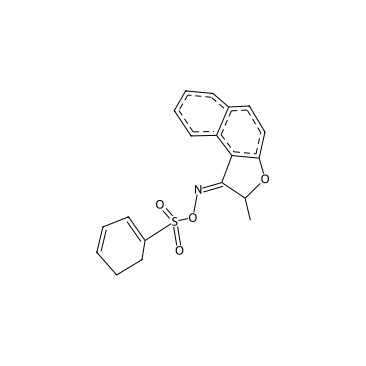 CC1Oc2ccc3ccccc3c2/C1=N/OS(=O)(=O)C1=CC=CCC1